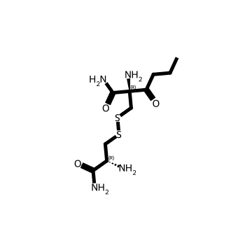 CCCC(=O)[C@](N)(CSSC[C@H](N)C(N)=O)C(N)=O